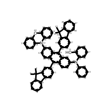 CC1(C)c2ccccc2-c2ccc(-c3c4ccc(N(c5ccccc5)c5ccccc5O)cc4c(-c4ccc5c(c4)C(C)(C)c4ccccc4-5)c4cc(N5c6ccccc6Oc6ccccc65)ccc34)cc21